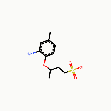 Cc1ccc(OC(C)CCS(=O)(=O)O)c(N)c1